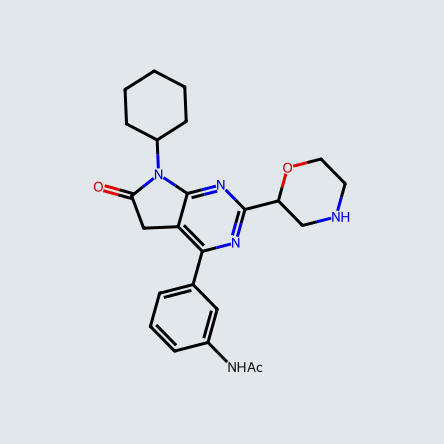 CC(=O)Nc1cccc(-c2nc(C3CNCCO3)nc3c2CC(=O)N3C2CCCCC2)c1